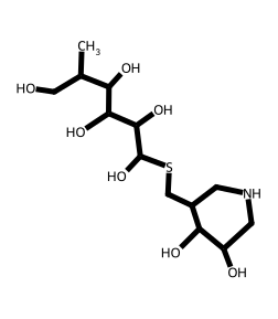 CC(CO)C(O)C(O)C(O)C(O)SCC1CNCC(O)C1O